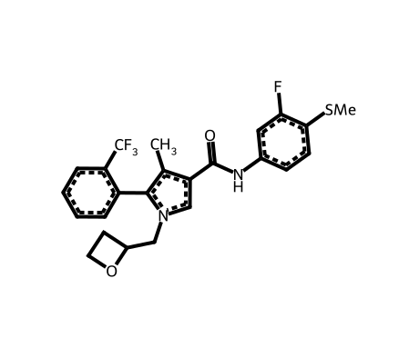 CSc1ccc(NC(=O)c2cn(CC3CCO3)c(-c3ccccc3C(F)(F)F)c2C)cc1F